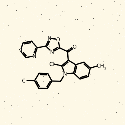 Cc1ccc2c(c1)c(C(=O)c1nc(-c3ccncn3)no1)c(Cl)n2Cc1ccc(Cl)cc1